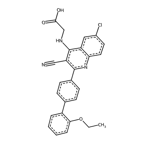 CCOc1ccccc1-c1ccc(-c2nc3ccc(Cl)cc3c(NCC(=O)O)c2C#N)cc1